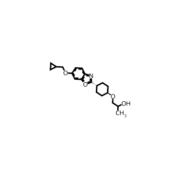 CC(O)CO[C@H]1CC[C@H](c2nc3ccc(OCC4CC4)cc3o2)CC1